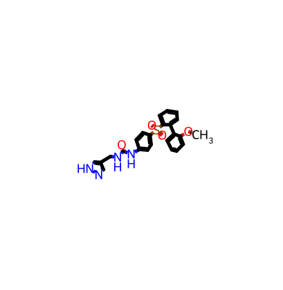 COc1ccccc1-c1ccccc1S(=O)(=O)c1ccc(NC(=O)NCc2cn[nH]c2)cc1